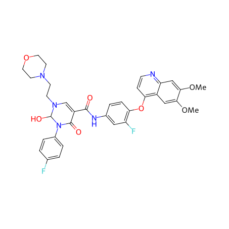 COc1cc2nccc(Oc3ccc(NC(=O)C4=CN(CCN5CCOCC5)C(O)N(c5ccc(F)cc5)C4=O)cc3F)c2cc1OC